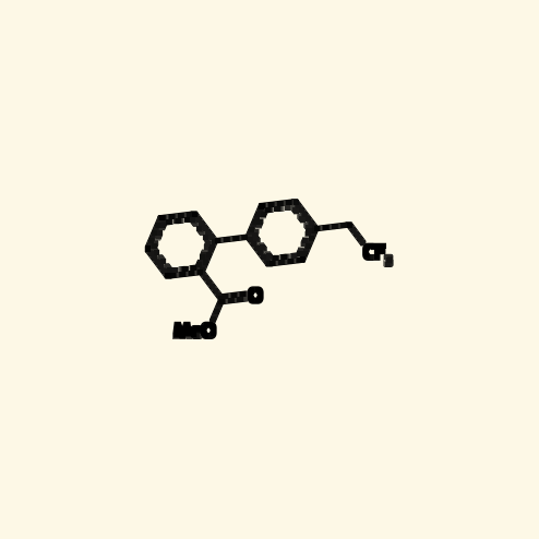 COC(=O)c1ccccc1-c1ccc(CC(F)(F)F)cc1